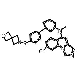 CN(c1cccc(-c2ccc(SN3CC4(COC4)C3)cc2)c1)c1nc2nncn2c2cc(Cl)ccc12